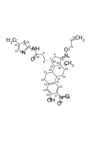 C=CCO/N=C1\C[C@@H](CCC(=O)Nc2ncc(C)s2)C2C3CCc4cc(O)c([N+](=O)[O-])cc4C3CC[C@]12C